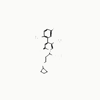 COc1cn(C(CCOC2CCC2)C(=O)O)c(=O)cc1-c1cc(Cl)ccc1C#N